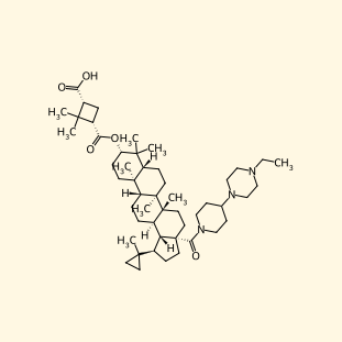 CCN1CCN(C2CCN(C(=O)[C@]34CC[C@@H](C5(C)CC5)[C@@H]3[C@H]3CC[C@@H]5[C@@]6(C)CC[C@H](OC(=O)[C@H]7C[C@@H](C(=O)O)C7(C)C)C(C)(C)[C@@H]6CC[C@@]5(C)[C@]3(C)CC4)CC2)CC1